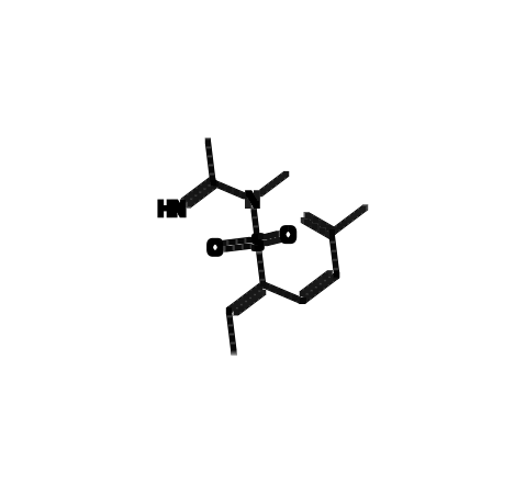 C=C(C)/C=C\C(=C/C)S(=O)(=O)N(C)C(C)=N